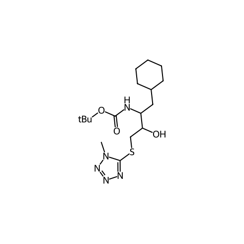 Cn1nnnc1SCC(O)C(CC1CCCCC1)NC(=O)OC(C)(C)C